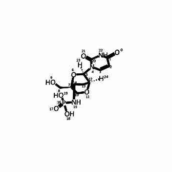 O=c1ccn([C@@H]2O[C@@]3(CO)CO[C@H]2CC3NP(=O)(O)O)c(=O)[nH]1